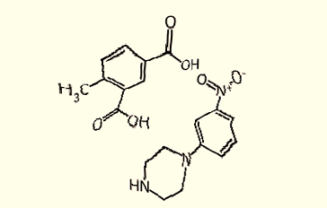 Cc1ccc(C(=O)O)cc1C(=O)O.O=[N+]([O-])c1cccc(N2CCNCC2)c1